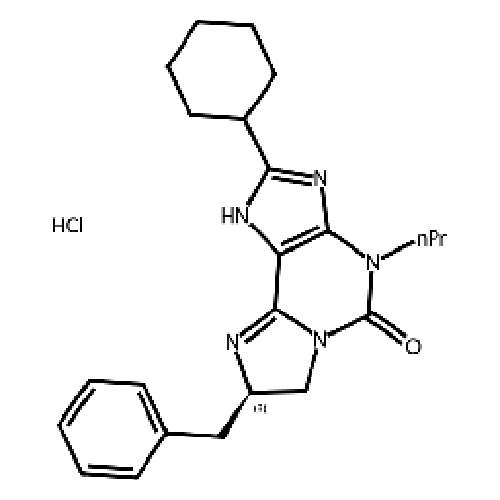 CCCN1C(=O)N2C[C@@H](Cc3ccccc3)N=C2c2[nH]c(C3CCCCC3)nc21.Cl